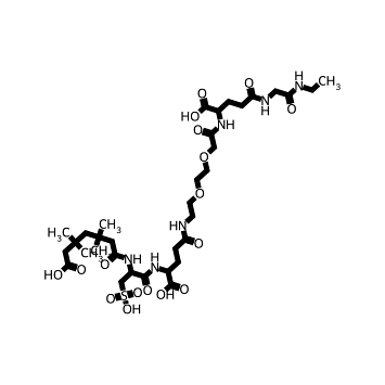 CCNC(=O)CNC(=O)CCC(NC(=O)COCCOCCNC(=O)CCC(NC(=O)C(CS(=O)(=O)O)NC(=O)CC(C)(C)CC(C)(C)CC(=O)O)C(=O)O)C(=O)O